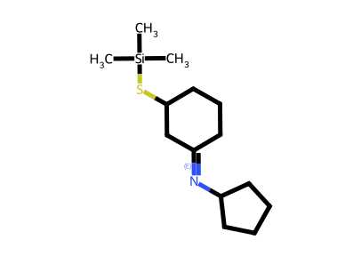 C[Si](C)(C)SC1CCC/C(=N\C2CCCC2)C1